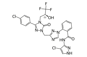 O=C(Nc1n[nH]cc1Cl)c1ccccc1-n1cnc(Cn2nc(-c3ccc(Cl)cc3)n(C[C@H](O)C(F)(F)F)c2=O)n1